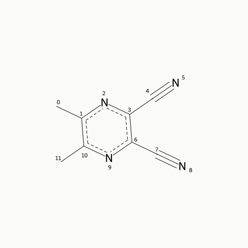 Cc1nc(C#N)c(C#N)nc1C